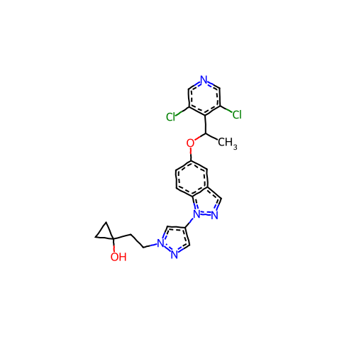 CC(Oc1ccc2c(cnn2-c2cnn(CCC3(O)CC3)c2)c1)c1c(Cl)cncc1Cl